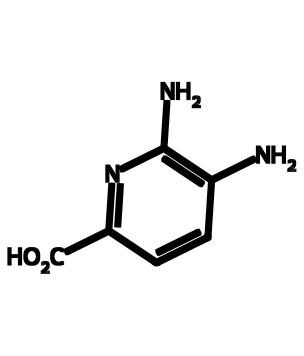 Nc1ccc(C(=O)O)nc1N